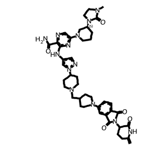 C=C1CCC(N2C(=O)c3ccc(N4CCC(CN5CCC(n6cc(Nc7nc(N8CCC[C@H](N9CCN(C)C9=O)C8)cnc7C(N)=O)cn6)CC5)CC4)cc3C2=O)C(=O)N1